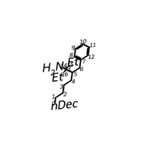 CCCCCCCCCCCCCCC(Cc1ccccc1)C(N)(CC)CC